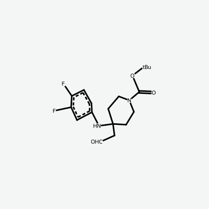 CC(C)(C)OC(=O)N1CCC(CC=O)(Nc2ccc(F)c(F)c2)CC1